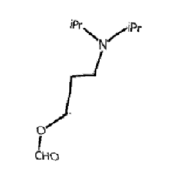 CC(C)N(CC[CH]OC=O)C(C)C